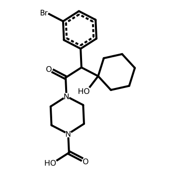 O=C(O)N1CCN(C(=O)C(c2cccc(Br)c2)C2(O)CCCCC2)CC1